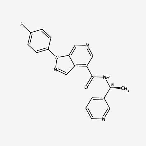 C[C@H](NC(=O)c1cncc2c1cnn2-c1ccc(F)cc1)c1cccnc1